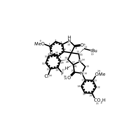 COc1cc2c(cn1)C1(C(=O)N2)[C@H](CC(C)(C)C)N2CN(c3ccc(C(=O)O)cc3OC)C(=O)[C@H]2[C@@H]1c1cccc(Cl)c1F